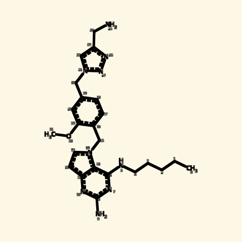 CCCCCNc1nc(N)nc2ccn(Cc3ccc(Cn4cc(CN)nn4)cc3OC)c12